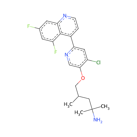 CC(COc1cnc(-c2ccnc3cc(F)cc(F)c23)cc1Cl)CC(C)(C)N